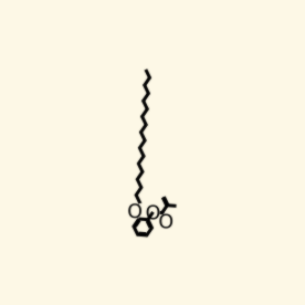 C=C(C)C(=O)Oc1ccccc1OCCCCCCCCCCCCCCCCCC